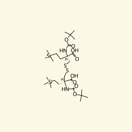 CC(C)(C)OC(=O)N[C@@](CC[Si](C)(C)C)(CSSC[C@](CC[Si](C)(C)C)(NC(=O)OC(C)(C)C)C(=O)O)C(=O)O